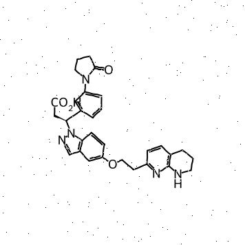 O=C(O)C[C@@H](c1cccc(N2CCCC2=O)c1)n1ncc2cc(OCCc3ccc4c(n3)NCCC4)ccc21